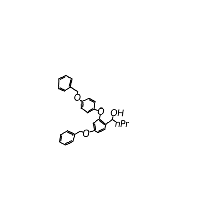 CCCC(O)c1ccc(OCc2ccccc2)cc1Oc1ccc(OCc2ccccc2)cc1